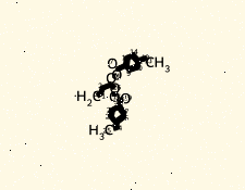 [CH2]CC[C](OOC(=O)c1ccc(CC)cc1)OOC(=O)c1ccc(CC)cc1